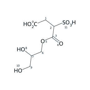 O=C(O)CC(C(=O)OCC(O)CO)S(=O)(=O)O